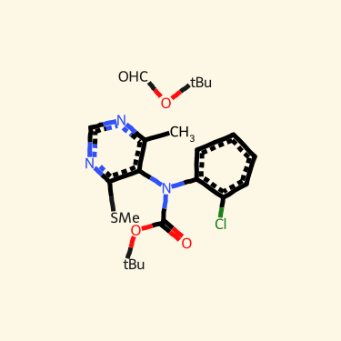 CC(C)(C)OC=O.CSc1ncnc(C)c1N(C(=O)OC(C)(C)C)c1ccccc1Cl